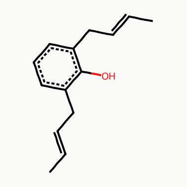 CC=CCc1cccc(CC=CC)c1O